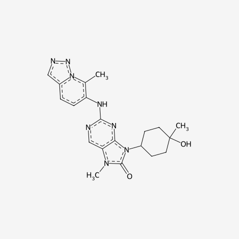 Cc1c(Nc2ncc3c(n2)n(C2CCC(C)(O)CC2)c(=O)n3C)ccc2cnnn12